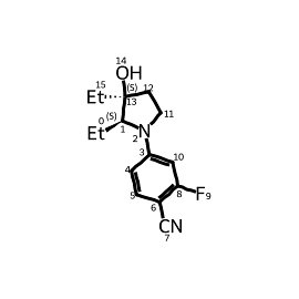 CC[C@@H]1N(c2ccc(C#N)c(F)c2)CC[C@@]1(O)CC